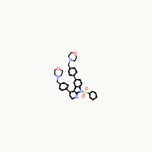 O=S(=O)(c1ccccc1)n1c2ccc(-c3ccc(CN4CCOCC4)cc3)cc2c2c(-c3ccc(CN4CCOCC4)cc3)ccnc21